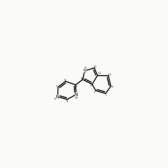 c1ccc2c(-c3ccncn3)scc2c1